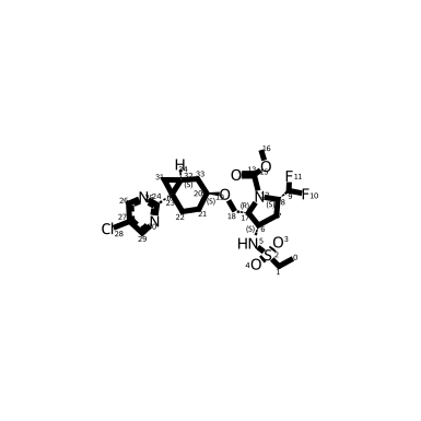 CCS(=O)(=O)N[C@H]1C[C@@H](C(F)F)N(C(=O)OC)[C@H]1CO[C@H]1CC[C@@]2(c3ncc(Cl)cn3)C[C@H]2C1